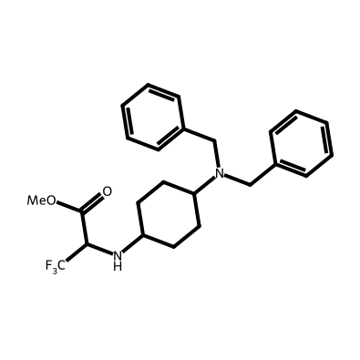 COC(=O)C(NC1CCC(N(Cc2ccccc2)Cc2ccccc2)CC1)C(F)(F)F